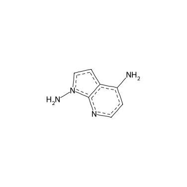 Nc1ccnc2c1ccn2N